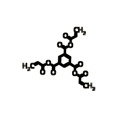 C=CC(=O)OC(=O)c1cc(C(=O)OC(=O)C=C)cc(C(=O)OC(=O)C=C)c1